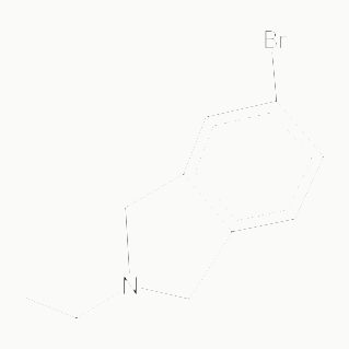 CCN1Cc2ccc(Br)cc2C1